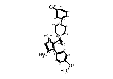 COc1ccc(-c2c(C)cn(C)c2C(=O)N2CCN(c3cccc(Cl)c3)CC2)cc1